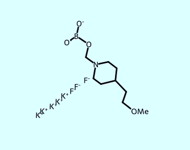 COCCC1CCN(COB([O-])[O-])CC1.[F-].[F-].[F-].[K+].[K+].[K+].[K+].[K+]